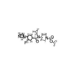 CC(C)OC(=O)N1CCC(N(C(=O)c2ccc(-n3cncn3)c(F)c2)C2CC2)CC1